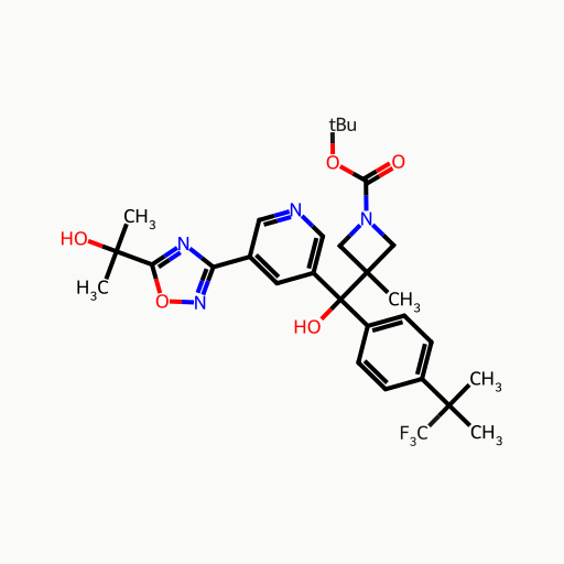 CC(C)(C)OC(=O)N1CC(C)(C(O)(c2ccc(C(C)(C)C(F)(F)F)cc2)c2cncc(-c3noc(C(C)(C)O)n3)c2)C1